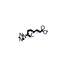 COC(=O)/C=C/c1ccc(-n2cncn2)cc1